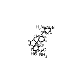 NC(=O)c1c(O)nc2n(c1=O)C(c1cccc(Sc3ncc(Cl)nc3N)c1Cl)CCC2